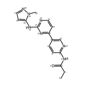 CCC(=O)Nc1ccc(-c2ccnc(Nc3ccnn3C)n2)cn1